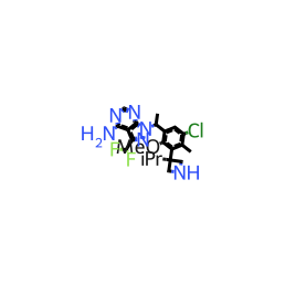 COc1c(C(C)n2nc(C(F)F)c3c(N)ncnc32)cc(Cl)c(C)c1C1(C(C)C)CNC1